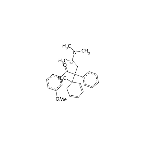 COc1cccc(C(=O)C(C[C@H](C)N(C)C)(c2ccccc2)C2(C)C=CC=CC2)c1